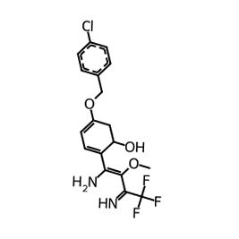 CO/C(C(=N)C(F)(F)F)=C(/N)C1=CC=C(OCc2ccc(Cl)cc2)CC1O